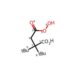 CC(C)(C)C(CC(=O)OO)(C(=O)O)C(C)(C)C